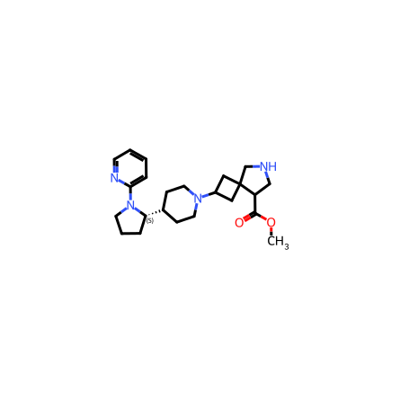 COC(=O)C1CNCC12CC(N1CCC([C@@H]3CCCN3c3ccccn3)CC1)C2